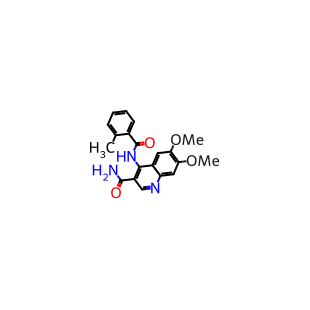 COc1cc2ncc(C(N)=O)c(NC(=O)c3ccccc3C)c2cc1OC